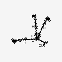 O=C(CCCCCCCNC(=O)CCOCC(COCCC(=O)NCCCCCCCC(=O)NCCOCCOCCOCCC(=O)ON1C(=O)CCC1=O)(COCCC(=O)NCCCCCCCC(=O)NCCOCCOCCOCCC(=O)ON1C(=O)CCC1=O)NC(=O)CCCCCCCNC(=O)OCC(Cl)(Cl)Cl)NCCOCCOCCOCCC(=O)ON1C(=O)CCC1=O